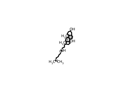 CN(C)CCCCONCCCC1CC[C@@]2(O)[C@@H]3CCC4CC(O)CC[C@]4(C)[C@@H]3CC[C@]12C